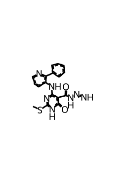 CSc1nc(Nc2cccnc2-c2ccccc2)c(C(=O)NN=N)c(=O)[nH]1